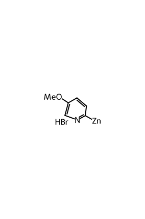 Br.COc1cc[c]([Zn])nc1